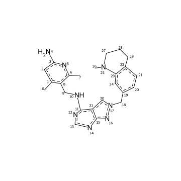 Cc1cc(N)nc(C)c1CNc1ncnc2nn(Cc3ccc4c(c3)N(C)CCC4)cc12